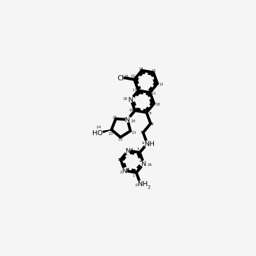 Nc1ncnc(NCCc2cc3cccc(Cl)c3nc2N2CC[C@@H](O)C2)n1